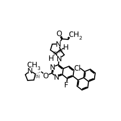 C=CC(=O)N1CC[C@H]2[C@H]1CN2c1nc(OC[C@@H]2CCCN2C)nc2c(F)c(-c3cccc4cccc(Cl)c34)ccc12